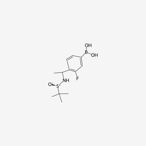 CC(N[S@+]([O-])C(C)(C)C)c1ccc(B(O)O)cc1F